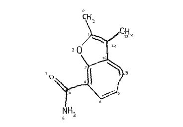 Cc1oc2c(C(N)=O)cccc2c1C